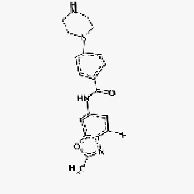 Cc1nc2c(F)cc(NC(=O)c3ccc(N4CCNCC4)cc3)cc2o1